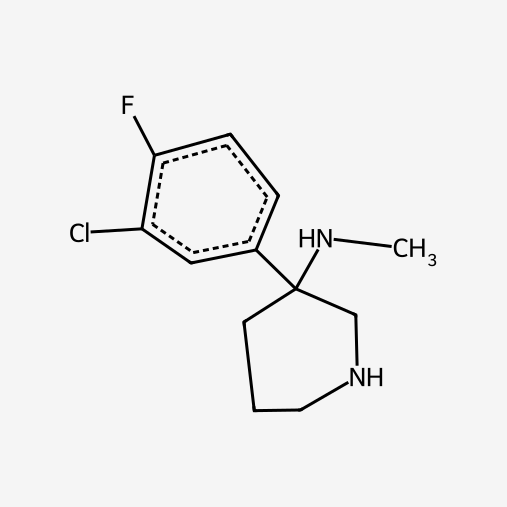 CNC1(c2ccc(F)c(Cl)c2)CCCNC1